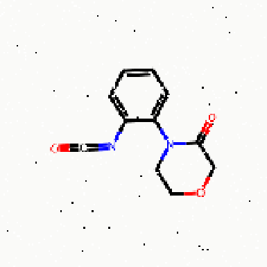 O=C=Nc1ccccc1N1CCOCC1=O